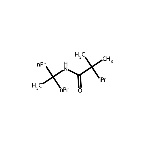 CCCC(C)(CCC)NC(=O)C(C)(C)C(C)C